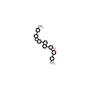 Cc1ccc(-c2ccc3c(c2)-c2cc(-c4cccc5c(-c6ccc7oc8ccc(-c9ccc(C)cc9)cc8c7c6)cccc45)ccc2C3)cc1